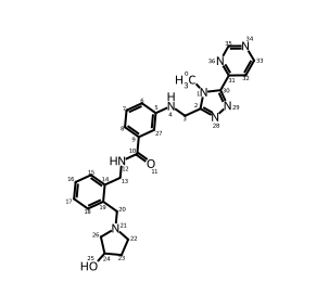 Cn1c(CNc2cccc(C(=O)NCc3ccccc3CN3CCC(O)C3)c2)nnc1-c1ccncn1